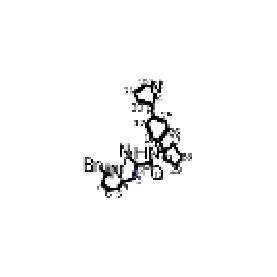 N#C/C(=C\c1cccc(Br)n1)C(=O)NC1(c2ccc(-c3cccnc3)cc2)CCCC1